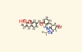 CCc1nc2cc(Br)ccc2n1Cc1ccccc1OCc1ccc(CC(CC)C(=O)O)cc1